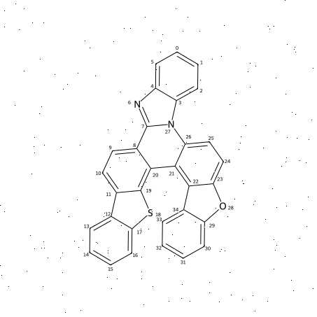 c1ccc2c(c1)nc1c3ccc4c5ccccc5sc4c3c3c4c(ccc3n21)oc1ccccc14